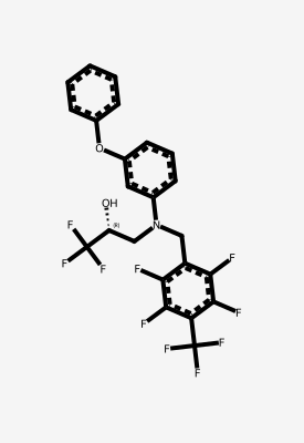 O[C@H](CN(Cc1c(F)c(F)c(C(F)(F)F)c(F)c1F)c1cccc(Oc2ccccc2)c1)C(F)(F)F